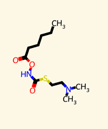 CCCCCC(=O)ONC(=O)SCCN(C)C